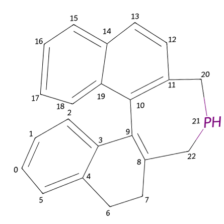 c1ccc2c(c1)CCC1=C2c2c(ccc3ccccc23)CPC1